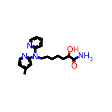 Cc1ccnc(N(CCCCCC(O)C(N)=O)c2ccccn2)c1